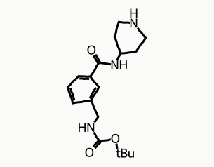 CC(C)(C)OC(=O)NCc1cccc(C(=O)NC2CCNCC2)c1